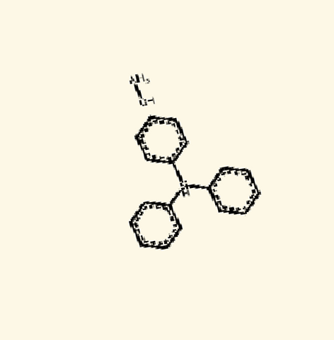 [OH][AlH2].c1ccc([SiH](c2ccccc2)c2ccccc2)cc1